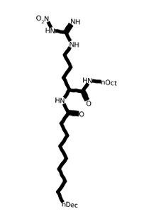 CCCCCCCCCCCCCCCCCC(=O)NC(CCCNC(=N)N[N+](=O)[O-])C(=O)NCCCCCCCC